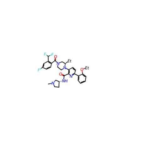 CCOc1ccccc1-c1ccc(N2CCN(C(=O)c3ccc(F)cc3C(F)F)C[C@H]2CC)c(C(=O)N[C@@H]2CCN(C)C2)n1